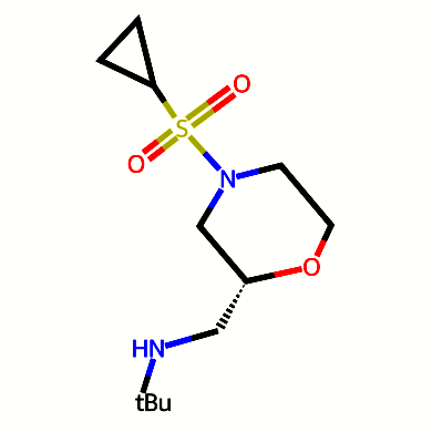 CC(C)(C)NC[C@@H]1CN(S(=O)(=O)C2CC2)CCO1